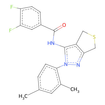 Cc1ccc(-n2nc3c(c2NC(=O)c2ccc(F)c(F)c2)CSC3)c(C)c1